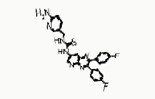 Nc1ccc(CNC(=S)Nc2cnc3nc(-c4ccc(F)cc4)c(-c4ccc(F)cc4)nc3c2)cn1